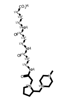 CN1CC[15N](CC2CCC[15N]2CC(=O)N[13CH2][13CH2][13C](=O)N[13CH2][13CH2][13C](=O)[15NH][13CH2][13CH2][13CH2][13C](=O)O)CC1